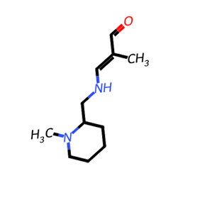 C/C(C=O)=C\NCC1CCCCN1C